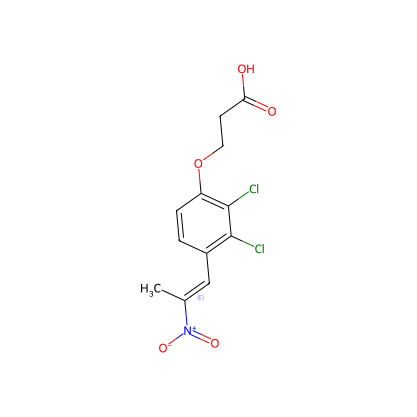 C/C(=C\c1ccc(OCCC(=O)O)c(Cl)c1Cl)[N+](=O)[O-]